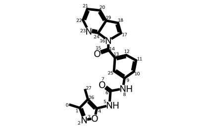 Cc1noc(NC(=O)Nc2cccc(C(=O)n3ccc4cccnc43)c2)c1C